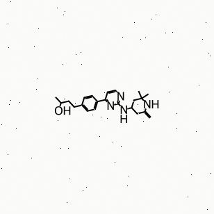 C=C1CC(Nc2nccc(-c3ccc(CCC(C)O)cc3)n2)CC(C)(C)N1